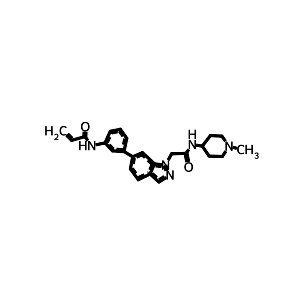 C=CC(=O)Nc1cccc(-c2ccc3cnn(CC(=O)NC4CCN(C)CC4)c3c2)c1